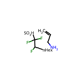 C=CCN.CCCCCCC(F)C(F)(F)S(=O)(=O)O